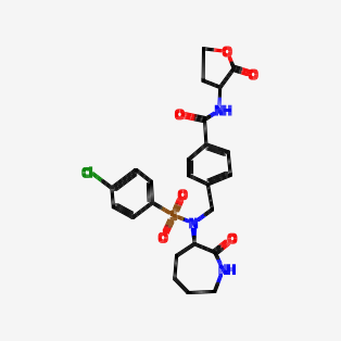 O=C(NC1CCOC1=O)c1ccc(CN([C@@H]2CCCCNC2=O)S(=O)(=O)c2ccc(Cl)cc2)cc1